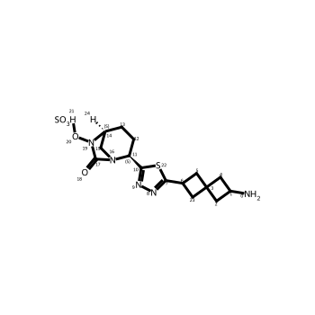 NC1CC2(C1)CC(c1nnc([C@@H]3CC[C@H]4CN3C(=O)N4OS(=O)(=O)O)s1)C2